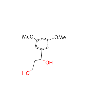 COc1cc(OC)cc([C@H](O)CCO)c1